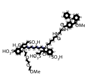 COCCOCCOCC[N+]1=C(/C=C/C=C/C=C/C=C2/N(CCCCCC(=O)NCCNC(=O)c3ccc(C(=O)OC)c(P(c4ccccc4)c4ccccc4)c3)c3ccc(S(=O)(=O)O)cc3C2(C)CCCS(=O)(=O)O)C(C)(CCCS(=O)(=O)O)c2cc(S(=O)(=O)O)ccc21